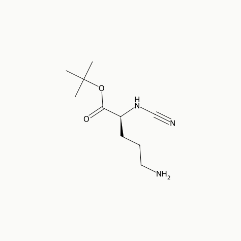 CC(C)(C)OC(=O)[C@H](CCCN)NC#N